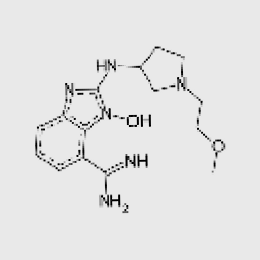 COCCN1CCC(Nc2nc3cccc(C(=N)N)c3n2O)C1